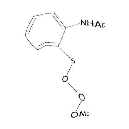 COOOSc1ccccc1NC(C)=O